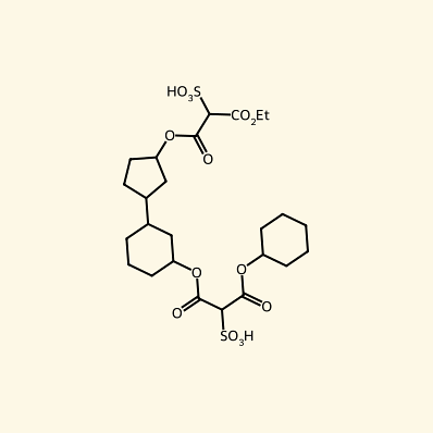 CCOC(=O)C(C(=O)OC1CCC(C2CCCC(OC(=O)C(C(=O)OC3CCCCC3)S(=O)(=O)O)C2)C1)S(=O)(=O)O